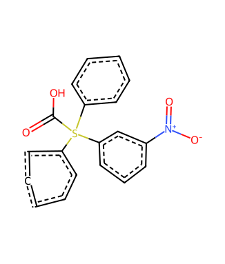 O=C(O)S(c1ccccc1)(c1ccccc1)c1cccc([N+](=O)[O-])c1